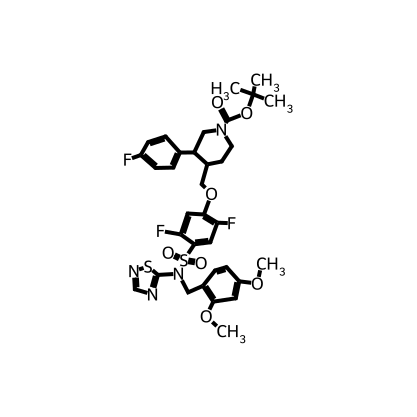 COc1ccc(CN(c2ncns2)S(=O)(=O)c2cc(F)c(OCC3CCN(C(=O)OC(C)(C)C)CC3c3ccc(F)cc3)cc2F)c(OC)c1